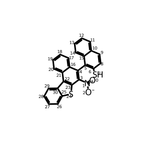 O=[N+]([O-])c1c(-c2c(S)ccc3ccccc23)c2ccccc2c2c1sc1ccccc12